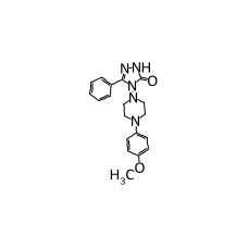 COc1ccc(N2CCN(n3c(-c4ccccc4)n[nH]c3=O)CC2)cc1